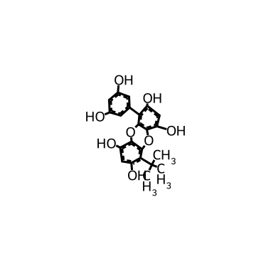 CC(C)(C)c1c(O)cc(O)c2c1Oc1c(O)cc(O)c(-c3cc(O)cc(O)c3)c1O2